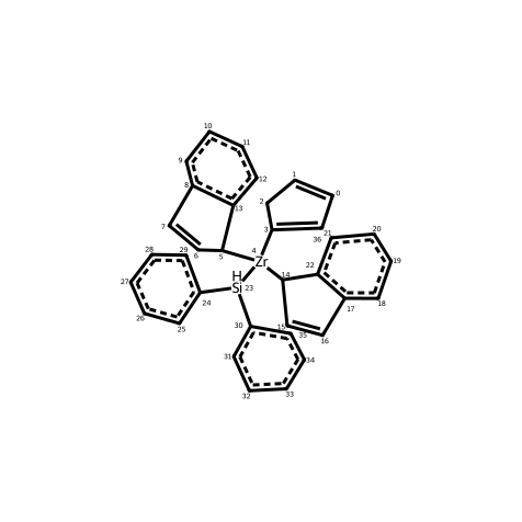 C1=CC[C]([Zr]([CH]2C=Cc3ccccc32)([CH]2C=Cc3ccccc32)[SiH](c2ccccc2)c2ccccc2)=C1